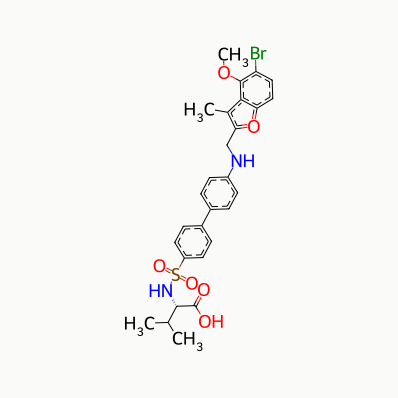 COc1c(Br)ccc2oc(CNc3ccc(-c4ccc(S(=O)(=O)N[C@H](C(=O)O)C(C)C)cc4)cc3)c(C)c12